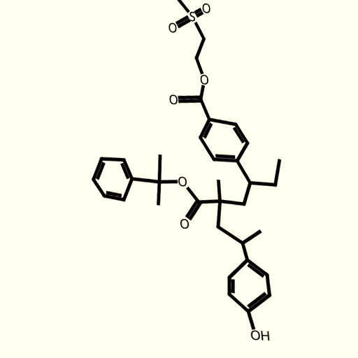 CCC(CC(C)(CC(C)c1ccc(O)cc1)C(=O)OC(C)(C)c1ccccc1)c1ccc(C(=O)OCCS(C)(=O)=O)cc1